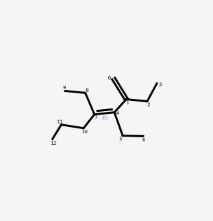 C=C(CC)/C(CC)=C(\CC)CCC